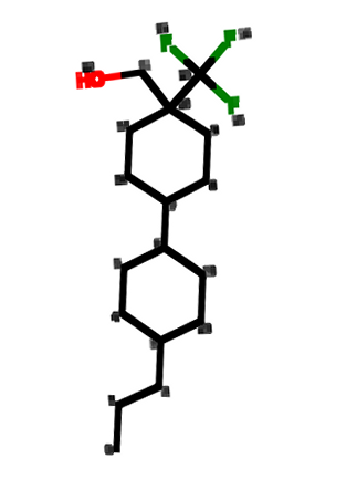 CCCC1CCC(C2CCC(CO)(C(F)(F)F)CC2)CC1